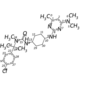 Cc1cc(N(C)C)nc(NC2CCC(NC(=O)N(C)C(C)(C)c3ccc(Cl)cc3)CC2)n1